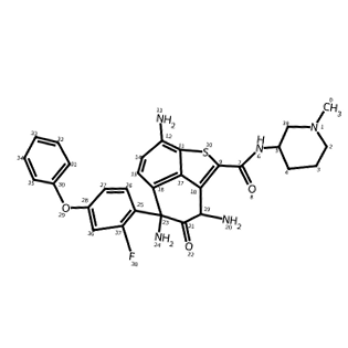 CN1CCCC(NC(=O)c2sc3c(N)ccc4c3c2C(N)C(=O)C4(N)c2ccc(Oc3ccccc3)cc2F)C1